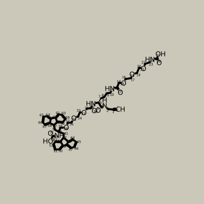 C#CCNC(=O)[C@H](CCCCNC(=O)COCCOCCOCCNC(=O)O)NC(=O)COCCOCCOCC(CC1c2ccccc2-c2ccccc21)(CC1c2ccccc2-c2ccccc21)NC(=O)O